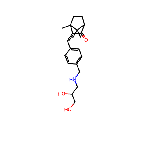 CC12CCC(C(=O)/C1=C\c1ccc(CNCC(O)CO)cc1)C2(C)C